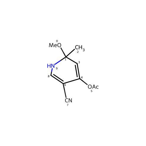 COC1(C)C=C(OC(C)=O)C(C#N)=CN1